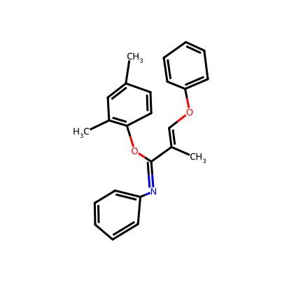 CC(=C\Oc1ccccc1)/C(=N/c1ccccc1)Oc1ccc(C)cc1C